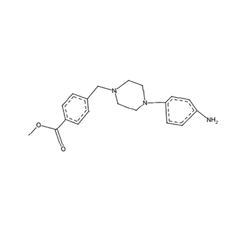 COC(=O)c1ccc(CN2CCN(c3ccc(N)cc3)CC2)cc1